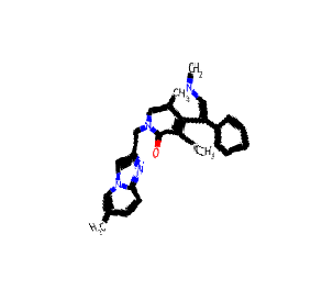 C=N/C=C(/c1ccccc1)c1c(C)cn(Cc2cn3cc(C)ccc3n2)c(=O)c1C